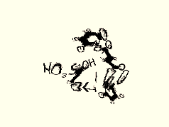 O=C(CCC(=O)ON1C(=O)CCC1=O)ON1C(=O)CCC1=O.O=S(=O)(O)C(O)CO